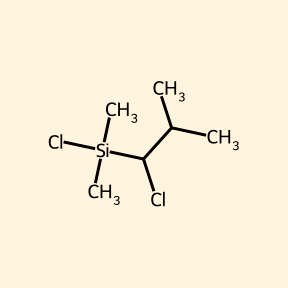 CC(C)C(Cl)[Si](C)(C)Cl